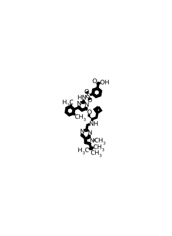 Cc1cccc(C)c1-c1cc(OC[C@@H](CC23CC(C2)C3)NCc2ncc3cc(C(C)(C)C)n(C)c3n2)nc(NS(=O)(=O)c2cccc(C(=O)O)c2)n1